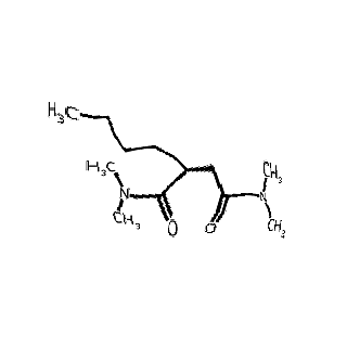 CCCCC(CC(=O)N(C)C)C(=O)N(C)C